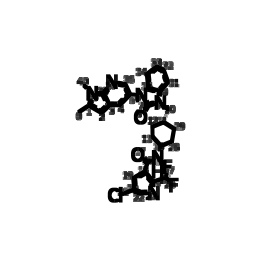 Cc1cc2cc(-n3c(=O)n(C[C@H]4CC[C@H](NC(=O)c5cc(Cl)cnc5C(F)F)CC4)c4ccccc43)cnc2n1C